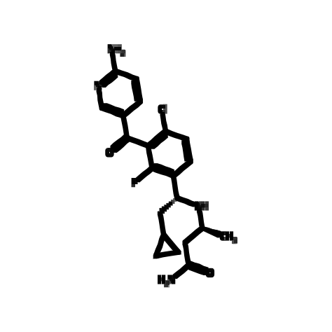 C[C@@H](CC(N)=O)N[C@H](CC1CC1)c1ccc(Cl)c(C(=O)c2ccc(N)nc2)c1F